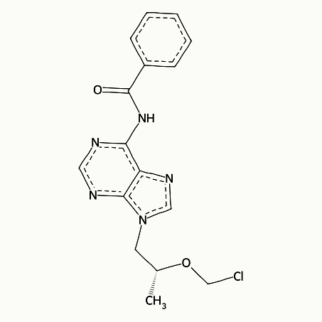 C[C@H](Cn1cnc2c(NC(=O)c3ccccc3)ncnc21)OCCl